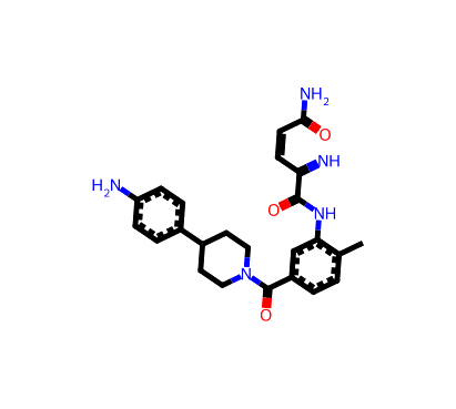 Cc1ccc(C(=O)N2CCC(c3ccc(N)cc3)CC2)cc1NC(=O)C(=N)/C=C\C(N)=O